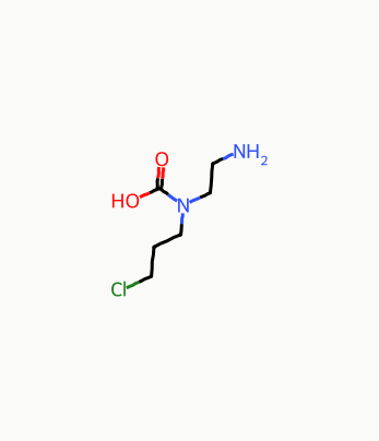 NCCN(CCCCl)C(=O)O